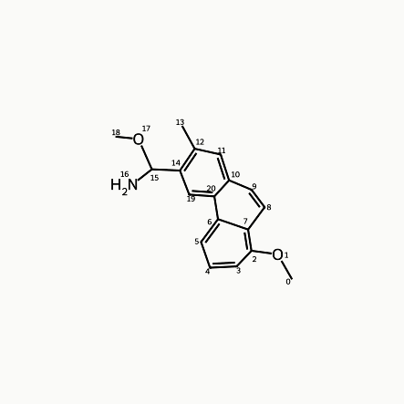 COc1cccc2c1ccc1cc(C)c(C(N)OC)cc12